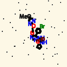 COc1cnc(OCCOc2ncnc(NS(=O)(=O)NC3CCCC3)c2-c2ccc(Br)cc2)nc1